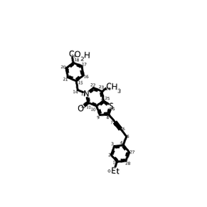 CCc1ccc(CC#Cc2cc3c(=O)n(Cc4ccc(C(=O)O)cc4)cc(C)c3s2)cc1